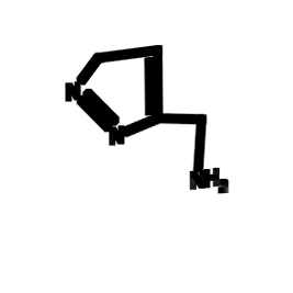 NCC1=CCN=N1